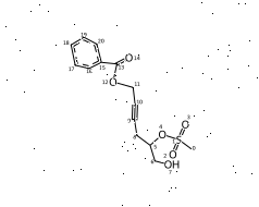 CS(=O)(=O)OC(CO)CC#CCOC(=O)c1ccccc1